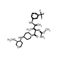 C=C(Nc1cccc(C(F)(F)F)c1)/C(C)=C(\N=C(/N)OC)C(=O)N1CCC(N[C@H]2CCOC[C@H]2OC)CC1